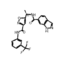 C[C@@H](NC(=O)c1ccc2cn[nH]c2c1)c1cc(C(=O)Nc2cccc(C(F)(F)F)c2)no1